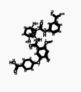 COc1cc(F)c(OC2CCC(C(=O)O)CC2)cc1C(=O)N[C@@H]1[C@H]2CC[C@H](C2)[C@@H]1C(=O)Nc1cccc(C(F)F)c1